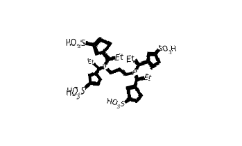 CCC(C1CCC(S(=O)(=O)O)C1)P(CCCP(C(CC)C1CCC(S(=O)(=O)O)C1)C(CC)C1CCC(S(=O)(=O)O)C1)C(CC)C1CCC(S(=O)(=O)O)C1